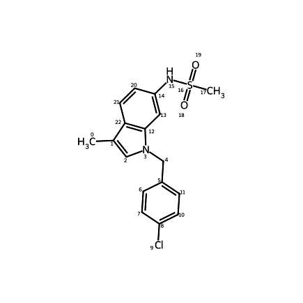 Cc1cn(Cc2ccc(Cl)cc2)c2cc(NS(C)(=O)=O)ccc12